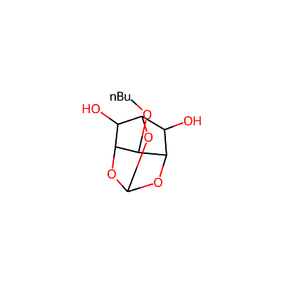 CCCCOC1C2OC3OC(C2O)C(O)C1O3